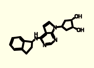 O[C@@H]1CC(n2ccc3c(N[C@H]4CCc5ccccc54)ncnc32)C[C@@H]1O